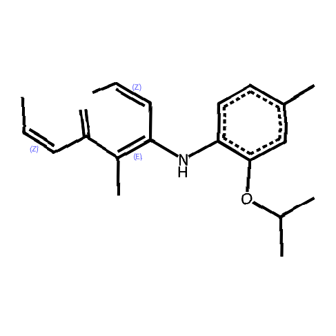 C=C(/C=C\C)/C(C)=C(\C=C/C)Nc1ccc(C)cc1OC(C)C